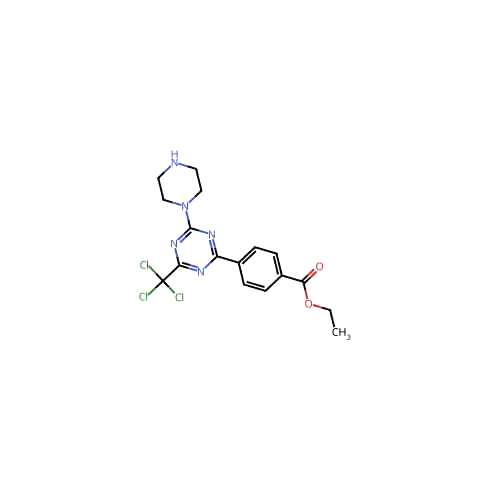 CCOC(=O)c1ccc(-c2nc(N3CCNCC3)nc(C(Cl)(Cl)Cl)n2)cc1